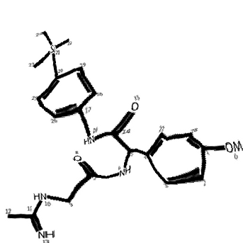 COc1ccc(C(NC(=O)CNC(C)=N)C(=O)Nc2ccc([Si](C)(C)C)cc2)cc1